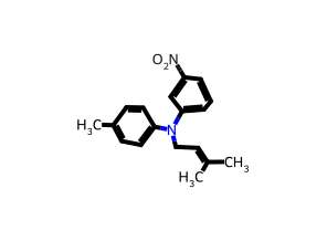 CC(C)=CCN(c1ccc(C)cc1)c1cccc([N+](=O)[O-])c1